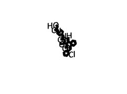 COc1c(C(=O)NC2CCN(C(=O)CO)CC2)n(C)c2c1c(=O)n(Cc1ccccc1Cl)c1ccccc21